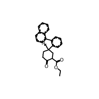 CCOC(=O)C1CC(C#N)(c2ccccc2-c2cccc3ccccc23)CCC1=O